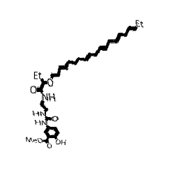 CCC=CCC=CCC=CCC=CCC=CCCCCOC(CC)C(=O)NCCNC(=O)Nc1ccc(O)c(C(=O)OC)c1